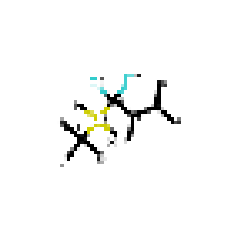 CC(C)C(C)C(F)(F)S(C)(C)C(C)(C)C